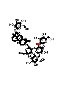 C=C1C[C@]23CC[C@H]4C(C)(C(=O)O[C@@H]5O[C@H](CO)[C@@H](O)[C@H](O)[C@H]5O)CCC[C@]4(C)[C@H]2CC[C@]1(O[C@@H]1O[C@H](CO)[C@@H](O)[C@H](O[C@@H]2O[C@H](CO)[C@@H](O)[C@H](O)[C@H]2O)[C@H]1O[C@@H]1O[C@H](CO)[C@@H](O)[C@H](O[C@H]2O[C@H](CO)[C@@H](O)[C@H](O)[C@H]2O)[C@H]1O)C3